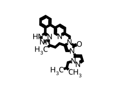 CCCCc1cn(-c2ccnn2CC(C)C)c(=O)n1Cc1ccc(-c2ccccc2-c2nnn[nH]2)cn1